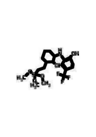 CO[Si](CCC1CCCC(Nc2cc(C(F)(F)F)ccc2O)C1O)(OC)OC